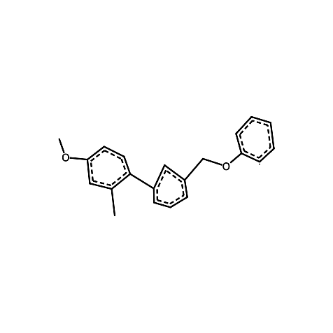 COc1ccc(-c2cccc(COc3[c]cccc3)c2)c(C)c1